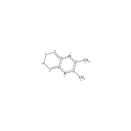 Cc1nc2c(nc1C)=CCCC=2